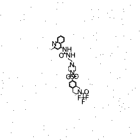 Cc1cc(NC(=O)NCCN2CCN(S(=O)(=O)c3ccc4c(c3)CN(C(=O)C(F)(F)F)CC4)CC2)c2ccccc2n1